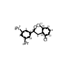 CC(C)c1[c]c(C(C)C)cc(C(=O)Cc2c(Cl)cccc2Cl)c1